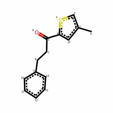 Cc1csc(C(=O)CCc2ccccc2)c1